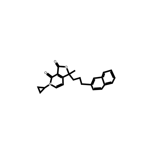 CC1(CCCc2ccc3ccccc3c2)OC(=O)c2c1ccn(C1CC1)c2=O